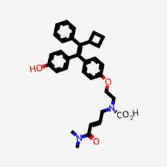 CN(C)C(=O)C=CCN(CCOc1ccc(C(=C(c2ccccc2)C2CCC2)c2ccc(O)cc2)cc1)C(=O)O